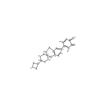 Cc1cc(=O)[nH]c(C)c1-c1ccc2c(c1)COC1(CCN(C3CCC3)CC1)O2